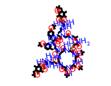 CC(=O)CNC(=O)CNC(=O)[C@H](CCCNC(=N)NS(=O)(=O)c1c(C)c(C)c2c(c1C)OC(C)(C)C2)NC(=O)[C@H](Cc1ccc(OC(C)(C)C)cc1)NC(=O)[C@H](Cc1ccc(OC(C)(C)C)cc1)NC(=O)[C@@H]1CC(=O)N[C@@H](CSCC(N)=O)C(=O)N[C@@H]([C@@H](C)OC(C)(C)C)C(=O)N[C@@H]([C@@H](C)OC(C)(C)C)C(=O)N[C@@H]([C@@H](C)OC(C)(C)C)C(=O)N[C@@H](CCCNC(=N)NS(=O)(=O)c2c(C)c(C)c3c(c2C)OC(C)(C)C3)C(=O)N1